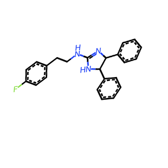 Fc1ccc(CCNC2=NC(c3ccccc3)C(c3ccccc3)N2)cc1